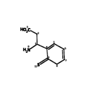 NC(CC(=O)O)C1=CC=CCC1=S